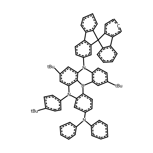 CC(C)(C)c1ccc(N2c3cc(N(c4ccccc4)c4ccccc4)ccc3B3c4cc(C(C)(C)C)ccc4N(c4ccc5c(c4)C4(c6ccccc6-c6ccccc64)c4ccccc4-5)c4cc(C(C)(C)C)cc2c43)cc1